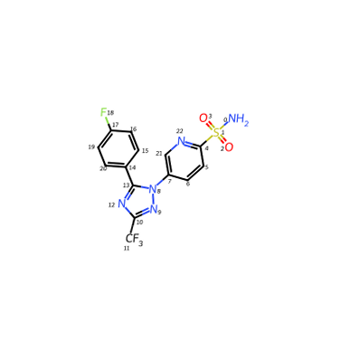 NS(=O)(=O)c1ccc(-n2nc(C(F)(F)F)nc2-c2ccc(F)cc2)cn1